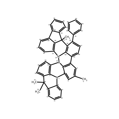 Cc1cc2c3c(c1)N1c4ccccc4C(C)(C)c4cccc(c41)B3N1c3cccc4c3C(C)(c3ccccc3-4)c3c(-c4ccccc4)ccc-2c31